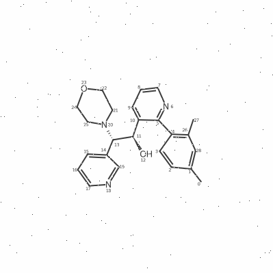 Cc1ccc(-c2ncccc2[C@@H](O)[C@H](c2cccnc2)N2CCOCC2)c(C)c1